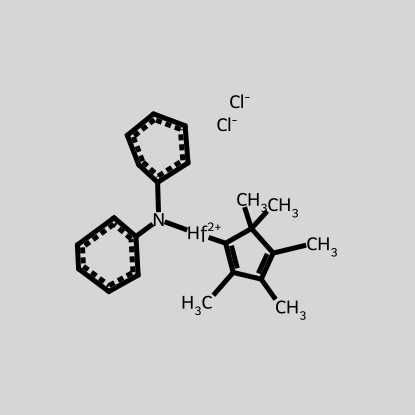 CC1=C(C)C(C)(C)[C]([Hf+2][N](c2ccccc2)c2ccccc2)=C1C.[Cl-].[Cl-]